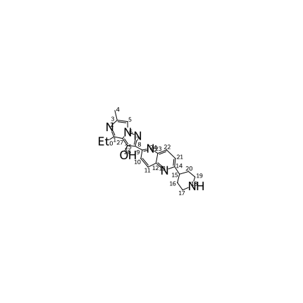 CCc1nc(C)cn2nc(-c3ccc4nc(C5CCNCC5)ccc4n3)c(O)c12